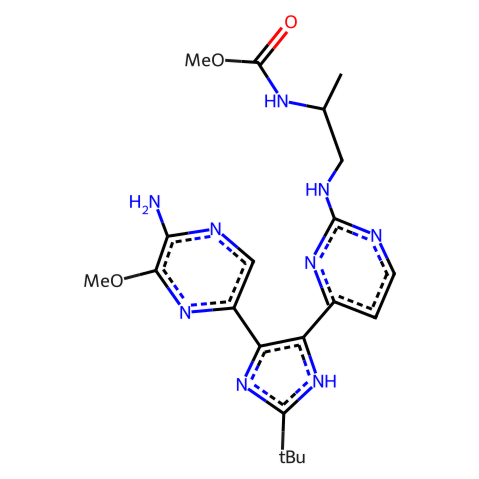 COC(=O)NC(C)CNc1nccc(-c2[nH]c(C(C)(C)C)nc2-c2cnc(N)c(OC)n2)n1